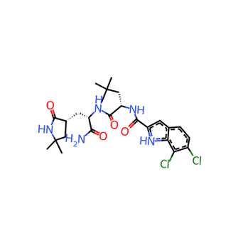 CC(C)(C)C[C@H](NC(=O)c1cc2ccc(Cl)c(Cl)c2[nH]1)C(=O)N[C@@H](C[C@@H]1CC(C)(C)NC1=O)C(N)=O